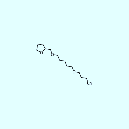 N#CCCCOCCCCCOCC1CCCO1